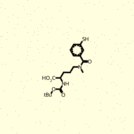 CN(CCCC(NC(=O)OC(C)(C)C)C(=O)O)C(=O)c1cccc(S)c1